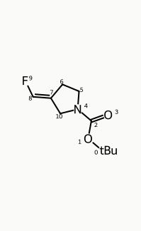 CC(C)(C)OC(=O)N1CC/C(=C\F)C1